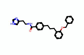 O=C(NCCc1c[nH]cn1)c1ccc(CCCc2ccccc2OCc2ccccc2)cc1